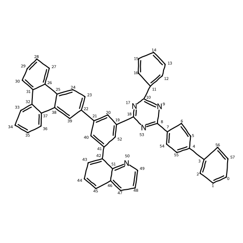 c1ccc(-c2ccc(-c3nc(-c4ccccc4)nc(-c4cc(-c5ccc6c7ccccc7c7ccccc7c6c5)cc(-c5cccc6cccnc56)c4)n3)cc2)cc1